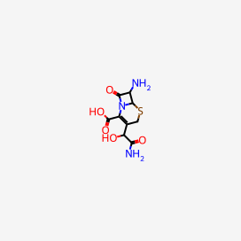 NC(=O)C(O)C1=C(C(=O)O)N2C(=O)C(N)C2SC1